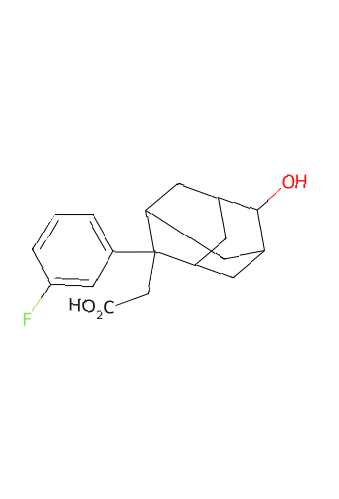 O=C(O)CC1(c2cccc(F)c2)C2CC3CC1CC(C2)C3O